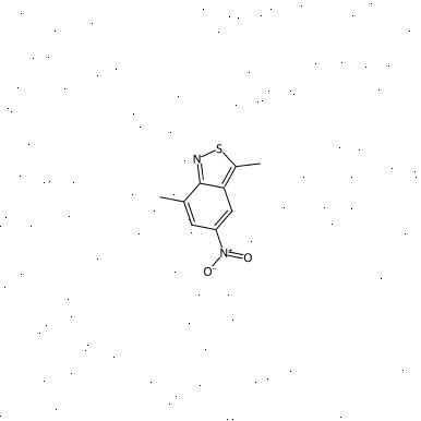 Cc1snc2c(C)cc([N+](=O)[O-])cc12